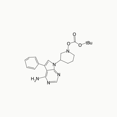 CC(C)(C)OC(=O)ON1CCCC(n2cc(-c3ccccc3)c3c(N)ncnc32)C1